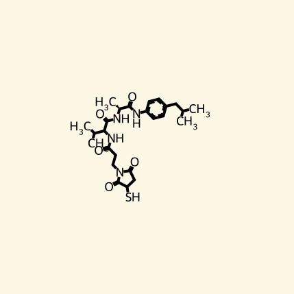 CC(C)Cc1ccc(NC(=O)[C@H](C)NC(=O)C(NC(=O)CCN2C(=O)CC(S)C2=O)C(C)C)cc1